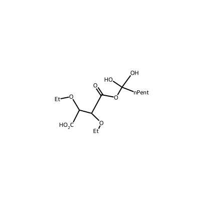 CCCCCC(O)(O)OC(=O)C(OCC)C(OCC)C(=O)O